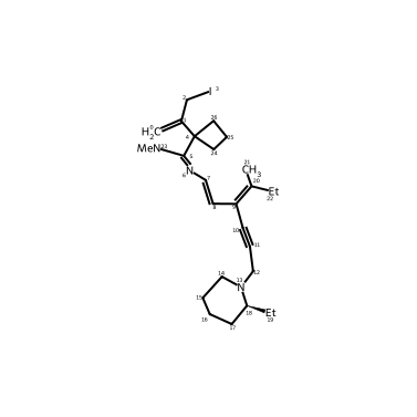 C=C(CI)C1(\C(=N/C=C/C(C#CCN2CCCC[C@@H]2CC)=C(\C)CC)NC)CCC1